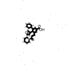 O=C(O)c1cc(C=CC(=O)N2CCCCC2)c(-c2ccoc2)c(C2CCCCC2)c1